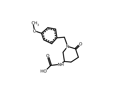 COc1ccc(CN2CC(NC(=O)O)CCC2=O)cc1